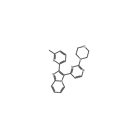 Cc1cccc(-c2nc3ccccn3c2-c2ccnc(N3CCOCC3)n2)n1